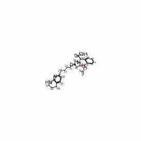 CC(C)O[C@@H](C)c1ccccc1C(C(=O)O)N1CC[C@@H](OCCCCc2ccc3c(n2)NCCC3)C1